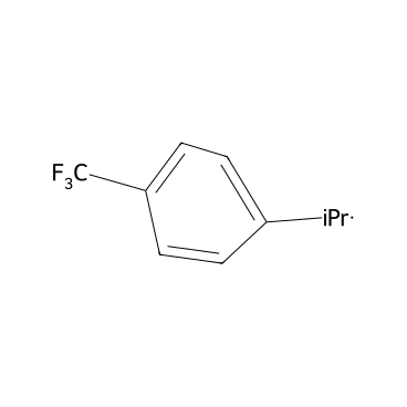 C[C](C)c1ccc(C(F)(F)F)cc1